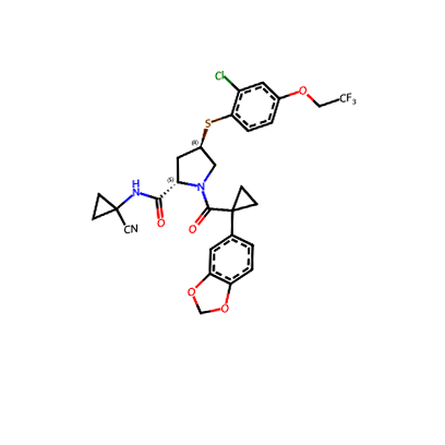 N#CC1(NC(=O)[C@@H]2C[C@@H](Sc3ccc(OCC(F)(F)F)cc3Cl)CN2C(=O)C2(c3ccc4c(c3)OCO4)CC2)CC1